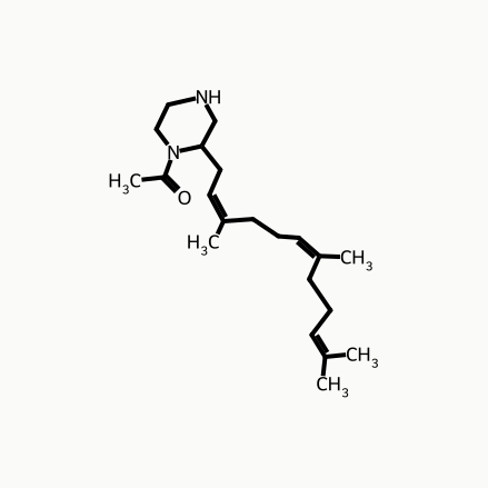 CC(=O)N1CCNCC1CC=C(C)CCC=C(C)CCC=C(C)C